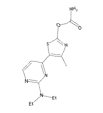 CCN(CC)c1nccc(-c2sc(OC(N)=O)nc2C)n1